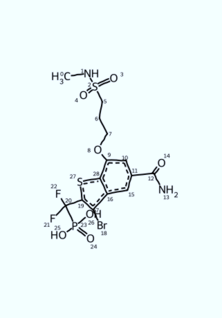 CNS(=O)(=O)CCCOc1cc(C(N)=O)cc2c(Br)c(C(F)(F)P(=O)(O)O)sc12